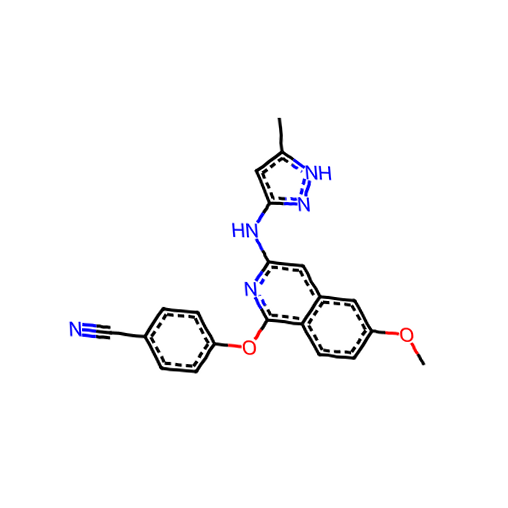 COc1ccc2c(Oc3ccc(C#N)cc3)nc(Nc3cc(C)[nH]n3)cc2c1